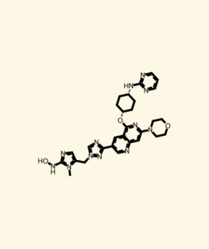 Cn1c(Cn2cnc(-c3cnc4cc(N5CCOCC5)nc(O[C@H]5CC[C@@H](Nc6ncccn6)CC5)c4c3)n2)cnc1NO